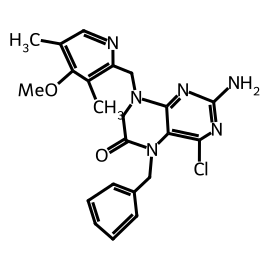 COc1c(C)cnc(CN2CC(=O)N(Cc3ccccc3)c3c(Cl)nc(N)nc32)c1C